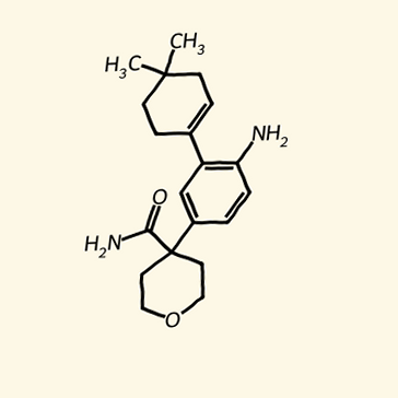 CC1(C)CC=C(c2cc(C3(C(N)=O)CCOCC3)ccc2N)CC1